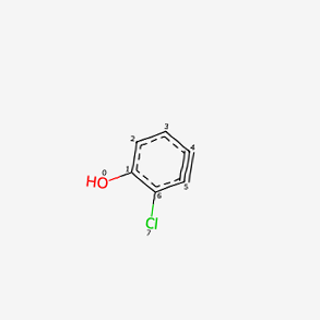 Oc1ccc#cc1Cl